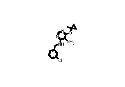 CC1(Oc2ncnc(NCc3cccc(Cl)c3)c2N)CC1